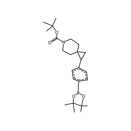 CC(C)(C)OC(=O)N1CCC2(CC1)CC2c1ccc(B2OC(C)(C)C(C)(C)O2)cc1